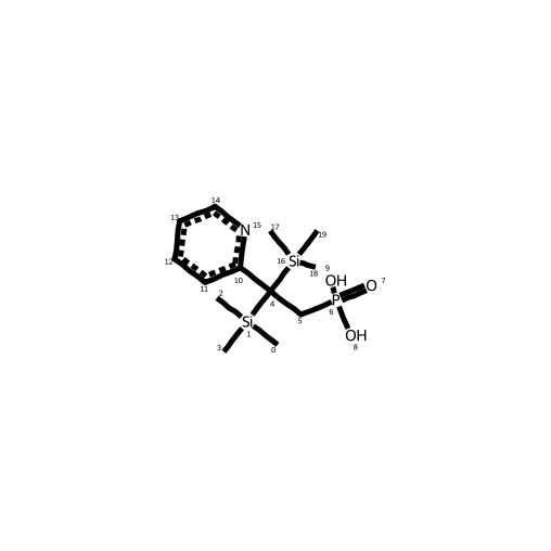 C[Si](C)(C)C(CP(=O)(O)O)(c1ccccn1)[Si](C)(C)C